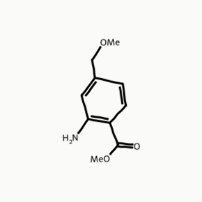 COCc1ccc(C(=O)OC)c(N)c1